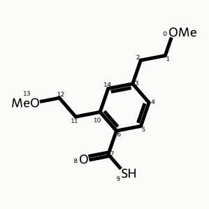 COCCc1ccc(C(=O)S)c(CCOC)c1